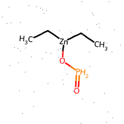 C[CH2][Zn]([CH2]C)[O][PH2]=O